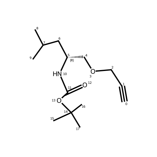 C#CCOC[C@@H](CC(C)C)NC(=O)OC(C)(C)C